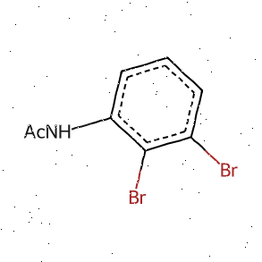 CC(=O)Nc1cccc(Br)c1Br